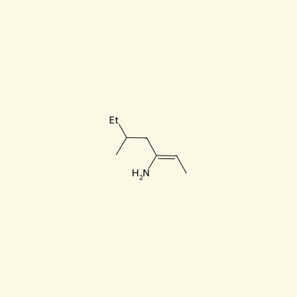 CC=C(N)CC(C)CC